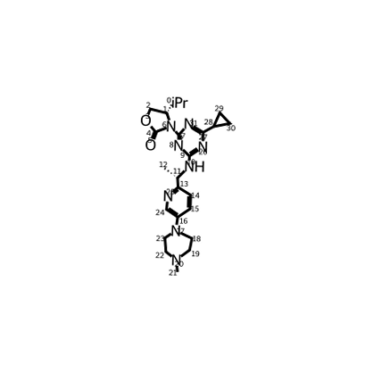 CC(C)[C@H]1COC(=O)N1c1nc(N[C@@H](C)c2ccc(N3CCN(C)CC3)cn2)nc(C2CC2)n1